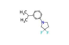 CC(C)c1cccc(N2CCC(F)(F)C2)c1